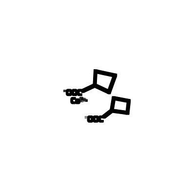 O=C([O-])C1CCC1.O=C([O-])C1CCC1.[Co+2]